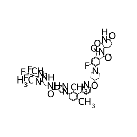 Cc1ccc(-n2cc(C(=O)NCc3nc(C(C)(C)C(F)(F)F)n[nH]3)cn2)c(C)c1-c1ccc(OC2CCN(c3cc4c(cc3F)C(=O)N(C3CCC(=O)NC3=O)C4=O)CC2)nc1